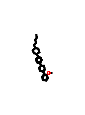 CCCCCC1CCC(c2ccc(C3C=CC(c4ccccc4OC)=CC3)cc2)CC1